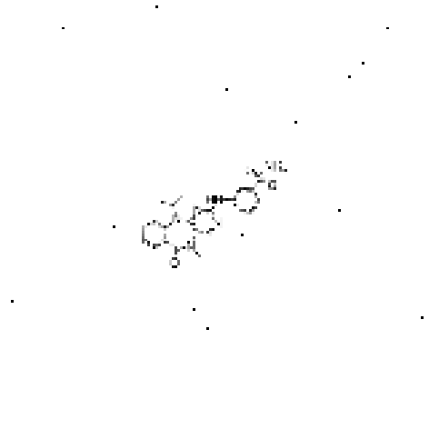 CC(C)N1c2ccccc2C(=O)N(C)c2cnc(Nc3cccc(S(N)(=O)=O)c3)nc21